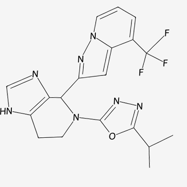 CC(C)c1nnc(N2CCc3[nH]cnc3C2c2cc3c(C(F)(F)F)cccn3n2)o1